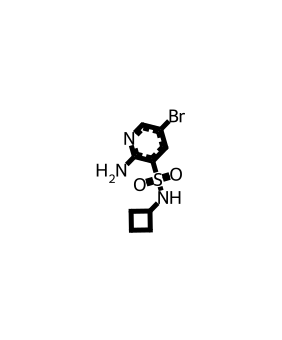 Nc1ncc(Br)cc1S(=O)(=O)NC1CCC1